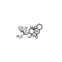 C[C@H](CCC(=O)O)[C@H]1CC[C@H]2[C@@H]3C(=O)CC4CCCC[C@]4(C)[C@H]3CC[C@]12C